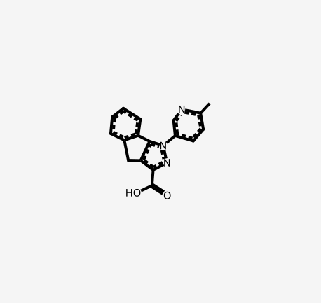 Cc1ccc(-n2nc(C(=O)O)c3c2-c2ccccc2C3)cn1